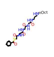 CCCCCCCCNCCCNC(=O)CNC(=O)CNC(=O)CNC(=O)CSC(=O)c1ccccc1